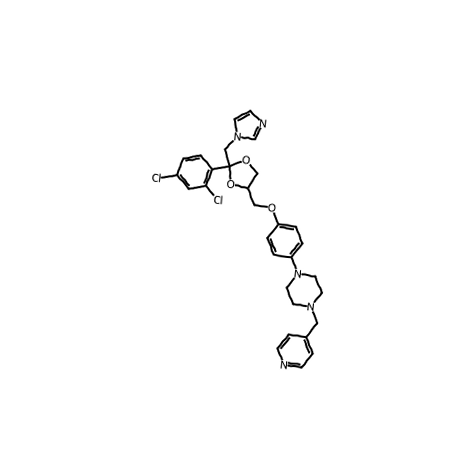 Clc1ccc(C2(Cn3ccnc3)OCC(COc3ccc(N4CCN(Cc5ccncc5)CC4)cc3)O2)c(Cl)c1